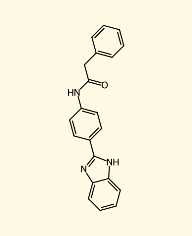 O=C(Cc1ccccc1)Nc1ccc(-c2nc3ccccc3[nH]2)cc1